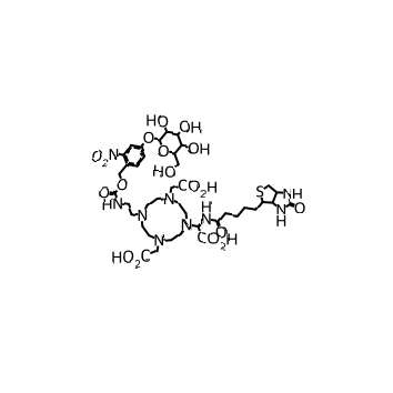 O=C(O)CN1CCN(CCNC(=O)OCc2ccc(OC3OC(CO)C(O)C(O)C3O)cc2[N+](=O)[O-])CCN(CC(=O)O)CCN(C(NC(=O)CCCCC2SCC3NC(=O)NC32)C(=O)O)CC1